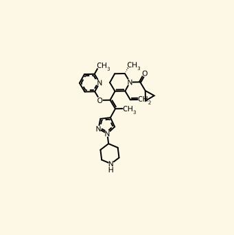 C=CC1=C(/C(Oc2cccc(C)n2)=C(\C)c2cnn(C3CCNCC3)c2)CC[C@H](C)N1C(=O)C1CC1